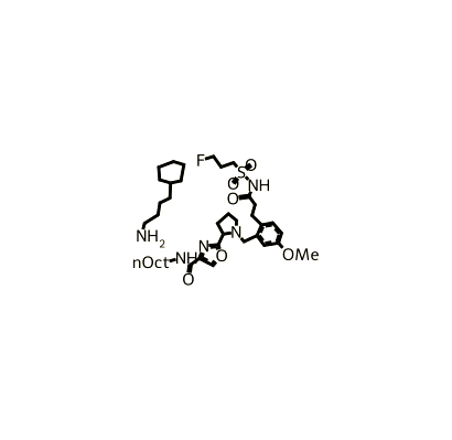 CCCCCCCCNC(=O)c1coc(C2CCCN2Cc2cc(OC)ccc2CCC(=O)NS(=O)(=O)CCCF)n1.NCCCCC1CCCCC1